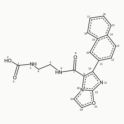 O=C(O)NCCNC(=O)c1c(-c2ccc3ccccc3c2)nc2occn12